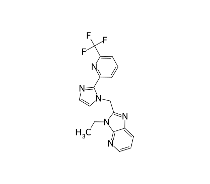 CCn1c(Cn2ccnc2-c2cccc(C(F)(F)F)n2)nc2cccnc21